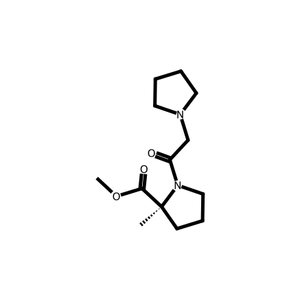 COC(=O)[C@]1(C)CCCN1C(=O)CN1CCCC1